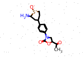 CC(=O)C1CN(c2ccc(C3CC[S+]([O-])C(N)C3)cc2)C(=O)O1